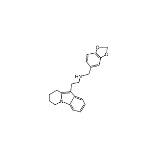 c1ccc2c(c1)c(CCNCc1ccc3c(c1)OCO3)c1n2CCCC1